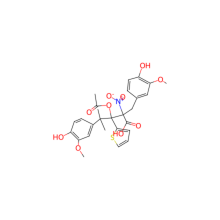 COc1cc(CC(C(=O)O)([N+](=O)[O-])C(OC(C)=O)(c2cccs2)C(C)(C)c2ccc(O)c(OC)c2)ccc1O